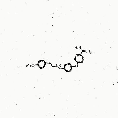 C=C(N)c1ccc(Oc2ccc(CNCCc3ccc(OC)cc3)cc2)cn1